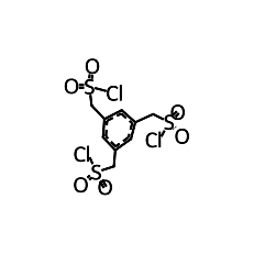 O=S(=O)(Cl)Cc1cc(CS(=O)(=O)Cl)cc(CS(=O)(=O)Cl)c1